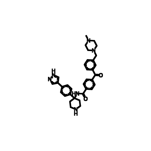 CN1CCN(Cc2cccc(C(=O)c3ccc(C(=O)NC4(c5ccc(-c6cn[nH]c6)cc5)CCNCC4)cc3)c2)CC1